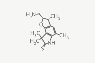 Cc1cc2c(c3c1NC(=S)C3(C)C)O[C@@H](CN)[C@@H]2C